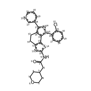 O=C(CC1CCOCC1)Nc1nc2c(s1)-c1c(c(-c3cccnc3)nn1-c1ccccc1Cl)CC2